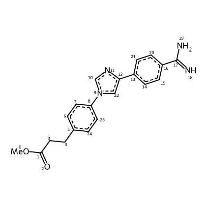 COC(=O)CCc1ccc(-n2cnc(-c3ccc(C(=N)N)cc3)c2)cc1